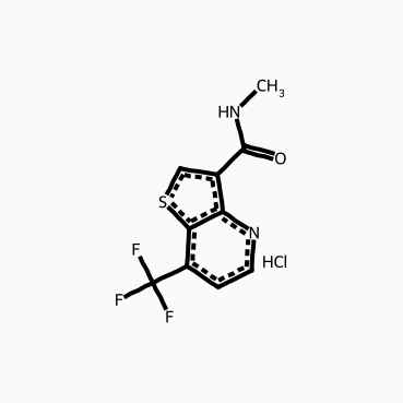 CNC(=O)c1csc2c(C(F)(F)F)ccnc12.Cl